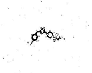 Cc1ccc(Cc2nsc(N3CCN(S(=O)(=O)CC(F)(F)F)CC3)n2)cc1